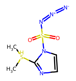 C[SH](C)c1nccn1S(=O)(=O)N=[N+]=[N-]